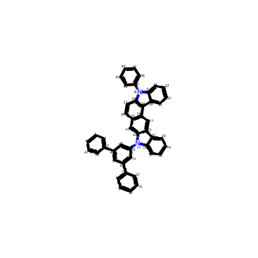 c1ccc(-c2cc(-c3ccccc3)cc(-n3c4ccccc4c4cc5c(ccc6c5c5ccccc5n6-c5ccccc5)cc43)c2)cc1